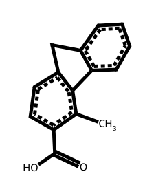 Cc1c(C(=O)O)ccc2c1-c1ccccc1C2